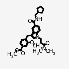 COC(=O)c1ccc(Cc2cn(CCC(=O)N(C)C)c3ccc(C(=O)NCC4CCCC4)cc23)c(OC)c1